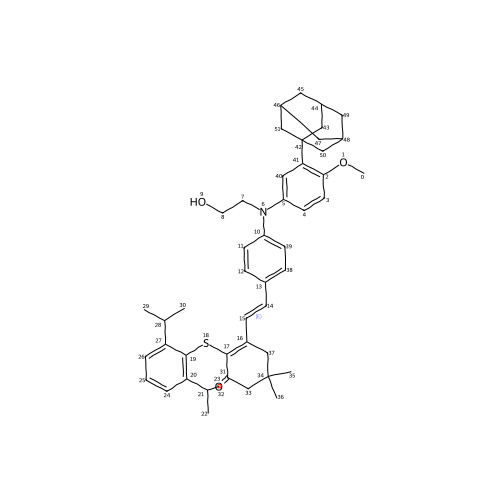 COc1ccc(N(CCO)c2ccc(/C=C/C3=C(Sc4c(C(C)C)cccc4C(C)C)C(=O)CC(C)(C)C3)cc2)cc1C12CC3CC(CC(C3)C1)C2